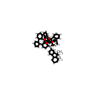 CC1(C)c2ccccc2-c2ccc(N(c3ccc4c(c3)C3(c5ccccc5-c5ccccc5-4)c4ccccc4-c4c3ccc3c4-c4ccccc4C3)c3ccccc3-c3ccccc3)cc21